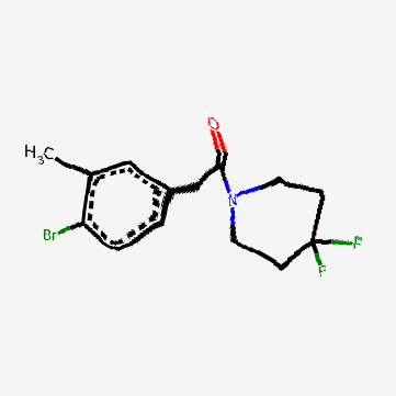 Cc1cc(C(=O)N2CCC(F)(F)CC2)ccc1Br